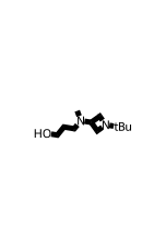 CN(CCCO)C1CN(C(C)(C)C)C1